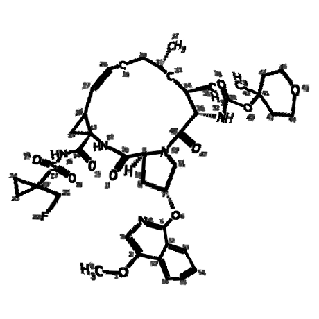 COc1cnc(O[C@@H]2C[C@H]3C(=O)N[C@]4(C(=O)NS(=O)(=O)C5(CF)CC5)CC4/C=C\CC[C@H](C)C[C@@H](C)[C@H](NC(=O)OC4(C)CCOCC4)C(=O)N3C2)c2ccccc12